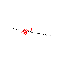 CCCCCCCCCCCCCCCCC(O)C(=O)OC(O)CCCCCCC